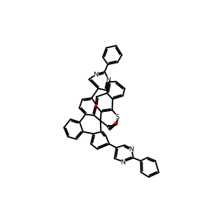 c1ccc(-c2ncc(-c3ccc4c(c3)C3(c5ccccc5Sc5c3ccc3ccccc53)c3cc(-c5cnc(-c6ccccc6)nc5)ccc3-c3ccccc3-4)cn2)cc1